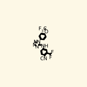 N#Cc1ccc(Nc2nnnn2-c2ccc(OC(F)(F)F)cc2)cc1C(F)F